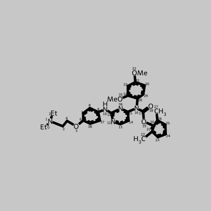 CCN(CC)CCOc1ccc(Nc2nccc(N(C(=O)Oc3c(C)cccc3C)c3ccc(OC)cc3OC)n2)cc1